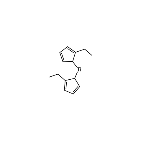 CCC1=CC=C[CH]1[Ti][CH]1C=CC=C1CC